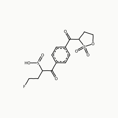 O=C(c1ccc(C(=O)C2CCOS2(=O)=O)cc1)C(CCF)S(=O)O